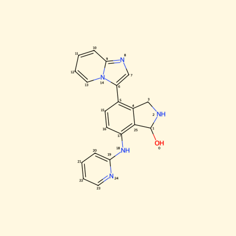 OC1NCc2c(-c3cnc4ccccn34)ccc(Nc3ccccn3)c21